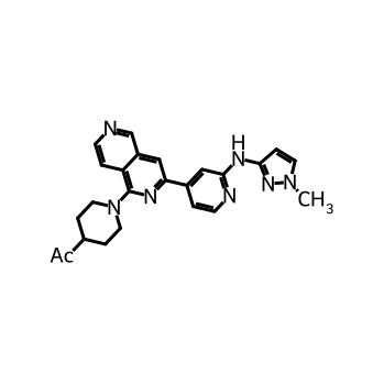 CC(=O)C1CCN(c2nc(-c3ccnc(Nc4ccn(C)n4)c3)cc3cnccc23)CC1